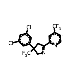 FC(F)(F)c1[c]cnc(C2=NCC(c3cc(Cl)cc(Cl)c3)(C(F)(F)F)C2)c1